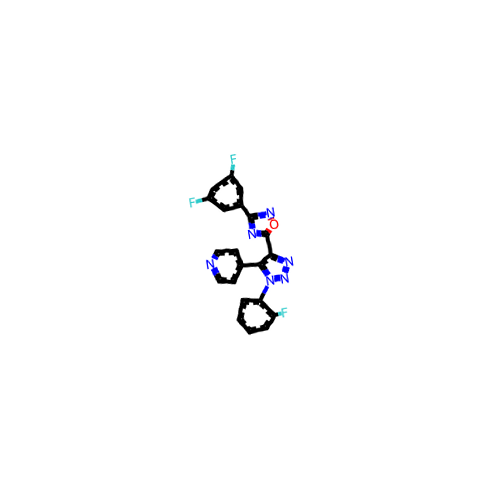 Fc1cc(F)cc(-c2noc(-c3nnn(-c4ccccc4F)c3-c3ccncc3)n2)c1